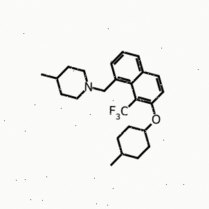 CC1CCC(Oc2ccc3cccc(CN4CCC(C)CC4)c3c2C(F)(F)F)CC1